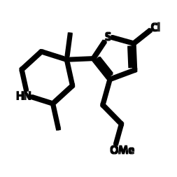 COCCc1cc(Cl)sc1C1(C)CCNC(C)C1